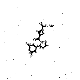 CNC(=O)C12CC(C(=O)N3N=CCC3c3cc(F)cc(F)c3)(C1)C2